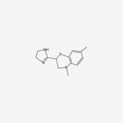 Cc1ccc2c(c1)SC(C1=NCCN1)CN2C